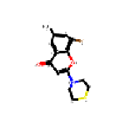 Cc1cc(Br)c2oc(N3CCSCC3)cc(=O)c2c1